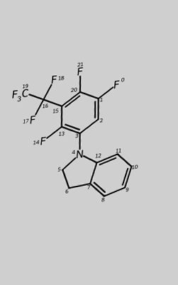 Fc1cc(N2CCc3ccccc32)c(F)c(C(F)(F)C(F)(F)F)c1F